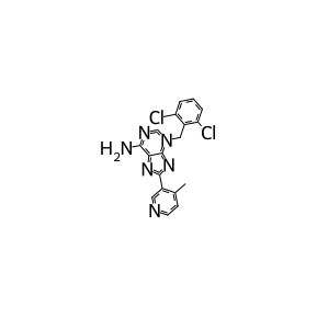 Cc1ccncc1-c1nc2c(N)ncn(Cc3c(Cl)cccc3Cl)c-2n1